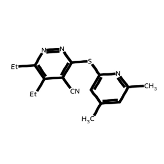 CCc1nnc(Sc2cc(C)cc(C)n2)c(C#N)c1CC